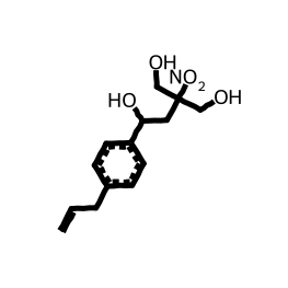 C=CCc1ccc(C(O)CC(CO)(CO)[N+](=O)[O-])cc1